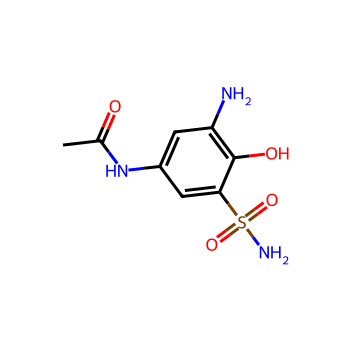 CC(=O)Nc1cc(N)c(O)c(S(N)(=O)=O)c1